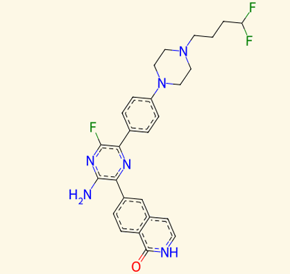 Nc1nc(F)c(-c2ccc(N3CCN(CCCC(F)F)CC3)cc2)nc1-c1ccc2c(=O)[nH]ccc2c1